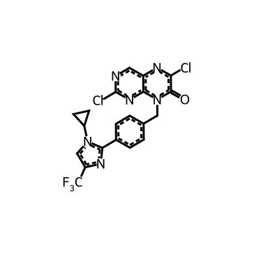 O=c1c(Cl)nc2cnc(Cl)nc2n1Cc1ccc(-c2nc(C(F)(F)F)cn2C2CC2)cc1